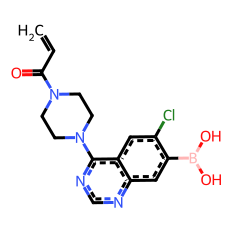 C=CC(=O)N1CCN(c2ncnc3cc(B(O)O)c(Cl)cc23)CC1